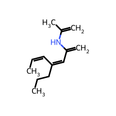 C=C(C)NC(=C)/C=C(\C=C/C)CCC